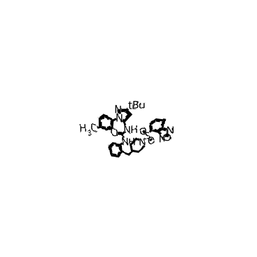 Cc1ccc(-n2nc(C(C)(C)C)cc2NC(=O)Nc2ccccc2CC2CCN(S(=O)(=O)c3cccc4nonc34)CC2)cc1